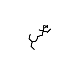 CCC(CC)CCCC(C)(O)CC